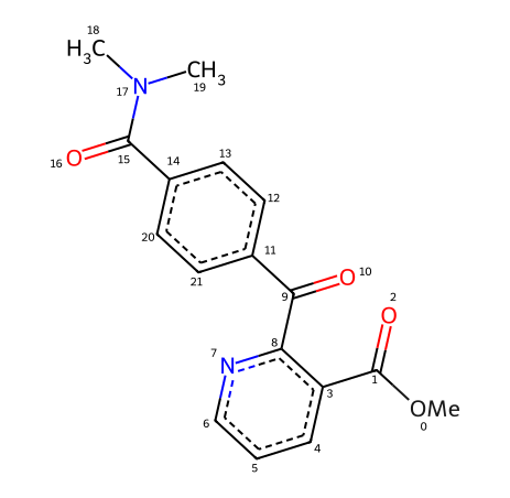 COC(=O)c1cccnc1C(=O)c1ccc(C(=O)N(C)C)cc1